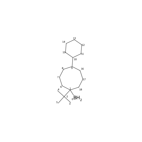 BC1(C(C)(C)C)CCCC(C2CCCCC2)CCC1